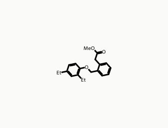 CCc1ccc(OCc2ccccc2CC(=O)OC)c(CC)c1